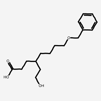 O=C(O)CCC(CCO)CCCCOCc1ccccc1